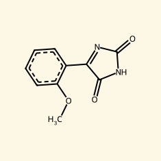 COc1ccccc1C1=NC(=O)NC1=O